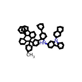 Cc1ccc(C2(c3cccc(-c4cc(-c5ccccc5)ccc4Nc4ccc5c6ccccc6n(-c6ccc7ccccc7c6)c5c4)c3)c3cccc4c3C(c3ccccc3)(c3ccccc3-4)C3C=CC=CC32)cc1